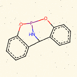 c1ccc2c(c1)OP1NC2c2ccccc2O1